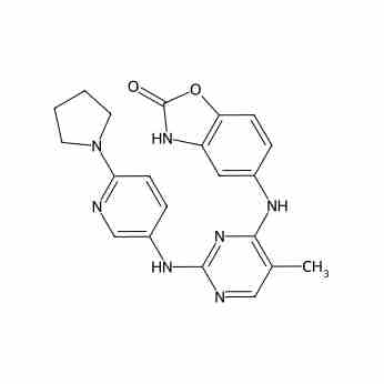 Cc1cnc(Nc2ccc(N3CCCC3)nc2)nc1Nc1ccc2oc(=O)[nH]c2c1